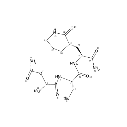 CC(C)(C)C[C@H](NC(=O)[C@@H](OC(N)=O)C(C)(C)C)C(=O)N[C@@H](C[C@@H]1CCCNC1=O)C(N)=O